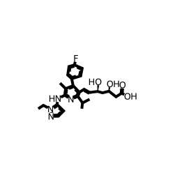 CCn1nccc1Nc1nc(C(C)C)c(/C=C/[C@@H](O)C[C@@H](O)CC(=O)O)c(-c2ccc(F)cc2)c1C